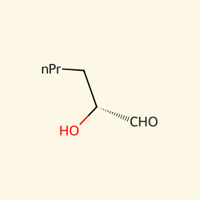 CCCC[C@@H](O)C=O